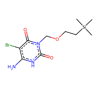 C[Si](C)(C)CCOCn1c(=O)[nH]c(N)c(Br)c1=O